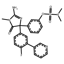 CN1C(=O)C(c2cccc(OS(=O)(=O)N(C)C)c2)(c2ccc(F)c(-c3cccnc3)c2)N=C1N